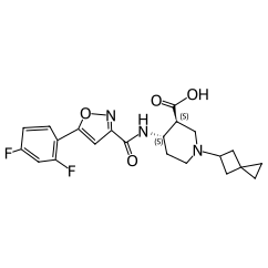 O=C(N[C@H]1CCN(C2CC3(CC3)C2)C[C@@H]1C(=O)O)c1cc(-c2ccc(F)cc2F)on1